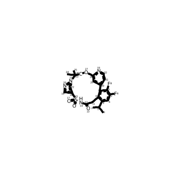 CC(C)c1cc(F)c(F)c2c1CC(=O)NS(=O)(=O)c1cnn(c1)C(C)(C)COc1cc-2ccn1